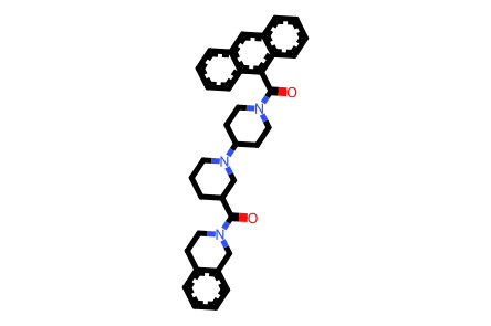 O=C(c1c2ccccc2cc2ccccc12)N1CCC(N2CCCC(C(=O)N3CCc4ccccc4C3)C2)CC1